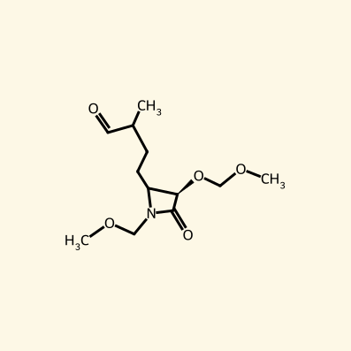 COCO[C@H]1C(=O)N(COC)C1CCC(C)C=O